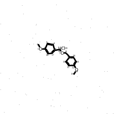 COc1ccc(COCc2ccc(OC)cc2)cc1.Cl